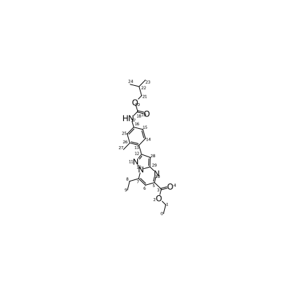 CCOC(=O)c1cc(CC)n2nc(-c3ccc(NC(=O)OCC(C)C)cc3C)cc2n1